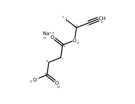 C#CC(I)OC(=O)CCC(=O)[O-].[Na+]